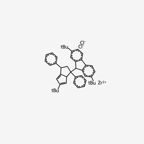 CC(C)(C)C1=CC2C(=C1)C(c1ccccc1)CC2(c1ccccc1)C1c2cc(C(C)(C)C)ccc2-c2ccc(C(C)(C)C)cc21.[Cl-].[Cl-].[Zr+2]